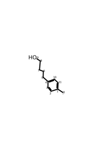 [CH2]c1ccc(CCCCO)cc1